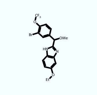 CCOc1ccc2[nH]c(C(OC)c3ccc(OC(F)(F)F)c(Br)c3)nc2c1